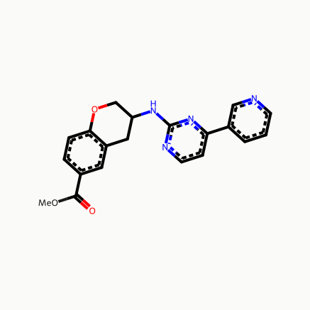 COC(=O)c1ccc2c(c1)CC(Nc1nccc(-c3cccnc3)n1)CO2